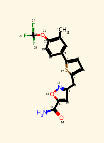 Cc1cc(-c2ccc(Cc3cc(C(N)=O)on3)s2)ccc1OC(F)(F)F